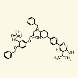 CC(C)C(NC(=O)c1ccc(C2CCC(N(Cc3ccccc3)C[C@H](O)COc3ccc(OCc4ccccc4)c(NS(C)(=O)=O)c3)CC2)cc1)C(=O)O